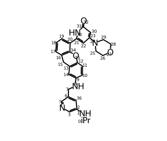 CC(C)Nc1cncc(CNc2ccc3c(c2)Cc2cccc(-c4cc(N5CCOCC5)cc(=O)[nH]4)c2O3)c1